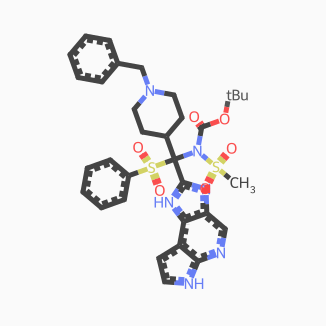 CC(C)(C)OC(=O)N(C(c1nc2cnc3[nH]ccc3c2[nH]1)(C1CCN(Cc2ccccc2)CC1)S(=O)(=O)c1ccccc1)S(C)(=O)=O